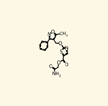 Cc1onc(-c2ccccc2)c1COc1ncc(C(=O)OCC(N)=O)s1